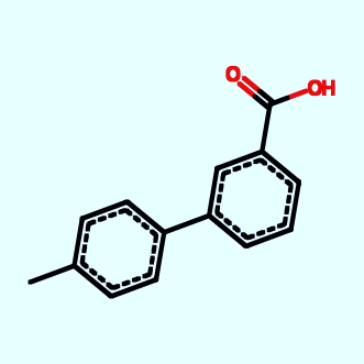 Cc1ccc(-c2cccc(C(=O)O)c2)cc1